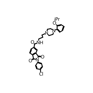 CC(C)Oc1ccccc1N1CCN(CCCNC(=O)c2ccc3c(c2)C(=O)N(c2ccc(Cl)cc2)C3=O)CC1